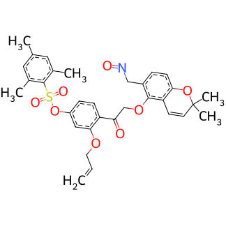 C=CCOc1cc(OS(=O)(=O)c2c(C)cc(C)cc2C)ccc1C(=O)COc1c(CN=O)ccc2c1C=CC(C)(C)O2